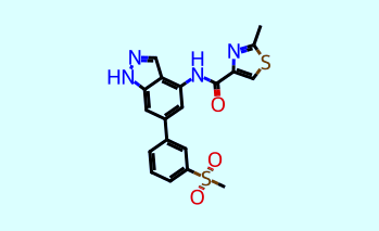 Cc1nc(C(=O)Nc2cc(-c3cccc(S(C)(=O)=O)c3)cc3[nH]ncc23)cs1